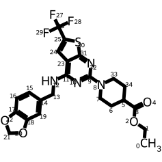 CCOC(=O)C1CCN(c2nc(NCc3ccc4c(c3)OCO4)c3cc(C(F)(F)F)sc3n2)CC1